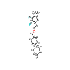 COc1ccc(C=COCc2ccc(C3CCC(C)CC3)cc2)c(F)c1F